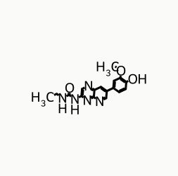 CCNC(=O)Nc1cnc2cc(-c3ccc(O)c(OC)c3)cnc2n1